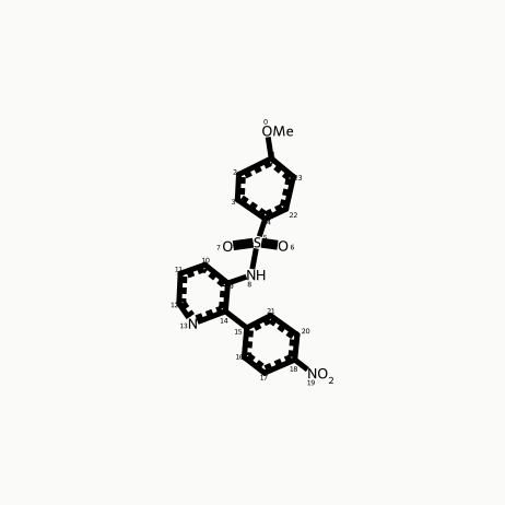 COc1ccc(S(=O)(=O)Nc2cccnc2-c2ccc([N+](=O)[O-])cc2)cc1